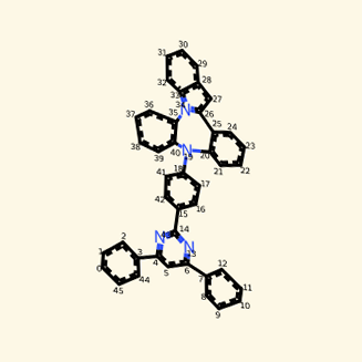 c1ccc(-c2cc(-c3ccccc3)nc(-c3ccc(N4c5ccccc5-c5cc6ccccc6n5-c5ccccc54)cc3)n2)cc1